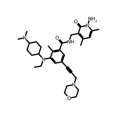 CCN(c1cc(C#CCN2CCOCC2)cc(C(=O)NCc2c(C)cc(C)n(N)c2=O)c1C)C1CCC(N(C)C)CC1